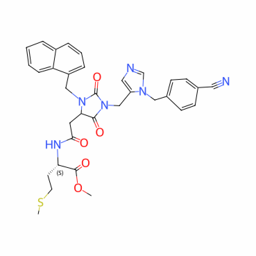 COC(=O)[C@H](CCSC)NC(=O)CC1C(=O)N(Cc2cncn2Cc2ccc(C#N)cc2)C(=O)N1Cc1cccc2ccccc12